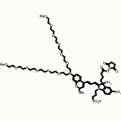 COCCOCCOCCOCCOCCOCCN(CCOCCOCCOCCOCCOCCOC)c1ccc2c(c1)OC(C(C)(C)C)C=C2/C=C/C=C1\N(CCCS(=O)(=O)O)c2ccc(S(=O)(=O)O)cc2C1(C)CCCC(=O)ON1C(=O)CCC1=O